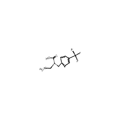 NC[C@H](Cc1ccc(C(F)(F)F)cc1)C(=O)O